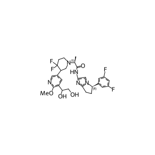 COc1ncc(C2CN([C@@H](C)C(=O)Nc3cn4c(n3)CC[C@@H]4c3cc(F)cc(F)c3)CCC2(F)F)cc1C(O)CO